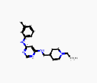 CCOC(=O)CN1CCC(CNc2cc(Nc3cccc(C)c3)ncn2)CC1